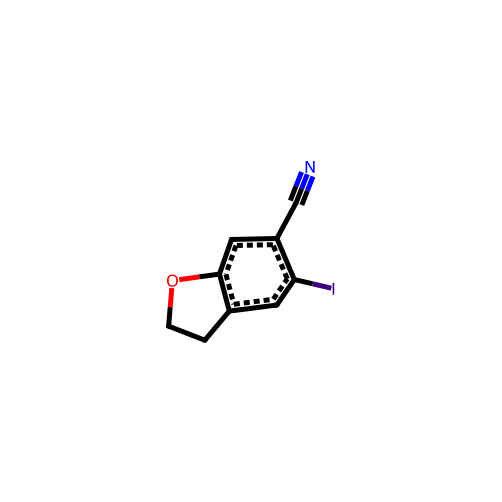 N#Cc1cc2c(cc1I)CCO2